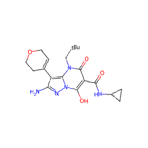 CC(C)(C)Cn1c(=O)c(C(=O)NC2CC2)c(O)n2nc(N)c(C3=CCOCC3)c12